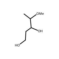 COC(C)C(O)CCO